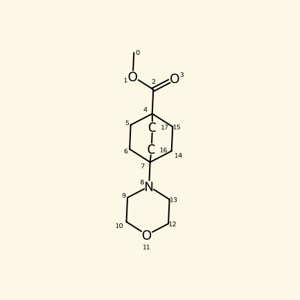 COC(=O)C12CCC(N3CCOCC3)(CC1)CC2